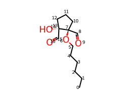 CCCCCCO[C@]1(C=O)CCC[C@]1(O)C=O